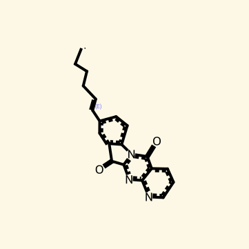 [CH2]CCC/C=C/c1ccc2c(c1)C(=O)c1nc3ncccc3c(=O)n1-2